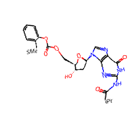 CSc1ccccc1OC(=O)OC[C@H]1O[C@@H](n2cnc3c(=O)[nH]c(NC(=O)C(C)C)nc32)C[C@@H]1O